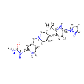 CCNC(=O)Nc1cc(CN2CCC(c3ccc(-n4cccn4)nc3C)CC2)ccn1